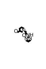 O=CC1CCCN(CC(=O)Nc2ncccn2)C1